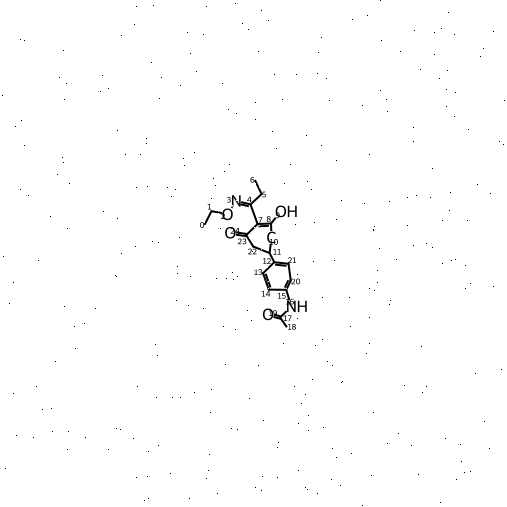 CCO/N=C(/CC)C1=C(O)CC(c2ccc(NC(C)=O)cc2)CC1=O